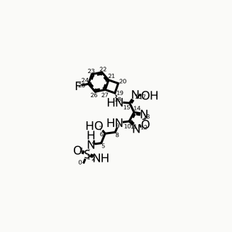 CS(=N)(=O)NCC(O)CNc1nonc1/C(=N\O)N[C@H]1Cc2ccc(F)cc21